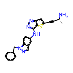 C[C@@H](N)C#Cc1cc2ncnc(Nc3ccc4c(cnn4Cc4ccccc4)c3)c2s1